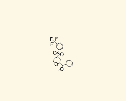 COC(c1ccccc1)C1CC(S(=O)(=O)c2cccc(C(F)(F)F)c2)CCO1